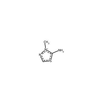 C[n+]1ncsc1N